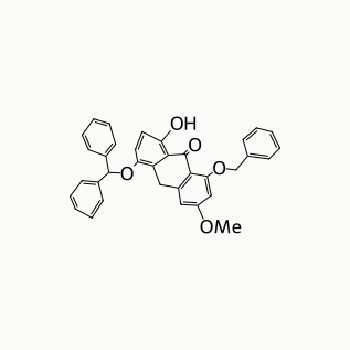 COc1cc2c(c(OCc3ccccc3)c1)C(=O)c1c(O)ccc(OC(c3ccccc3)c3ccccc3)c1C2